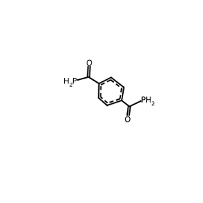 O=C(P)c1ccc(C(=O)P)cc1